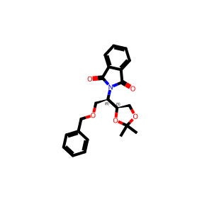 CC1(C)OC[C@H]([C@@H](COCc2ccccc2)N2C(=O)c3ccccc3C2=O)O1